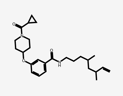 C=CC(C)CC(C)CCCNC(=O)c1cccc(OC2CCN(C(=O)C3CC3)CC2)c1